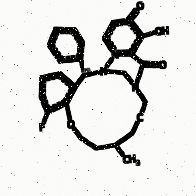 CC1CCCN2CN([C@@H](c3ccccc3)c3cccc(F)c3OCC1)n1ccc(=O)c(O)c1C2=O